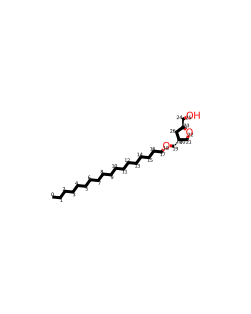 CCCCCCCCCCCCCCCCCCOC[C@H]1CO[C@H](CO)C1